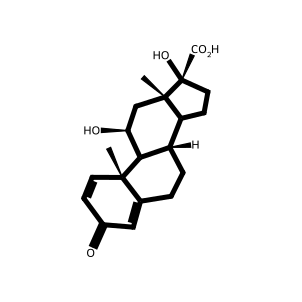 C[C@]12C=CC(=O)C=C1CC[C@@H]1C2[C@@H](O)C[C@@]2(C)C1CC[C@]2(O)C(=O)O